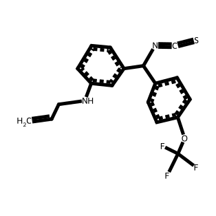 C=CCNc1cccc(C(N=C=S)c2ccc(OC(F)(F)F)cc2)c1